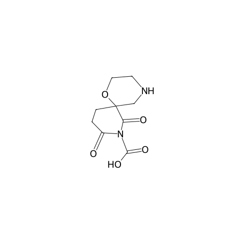 O=C(O)N1C(=O)CCC2(CNCCO2)C1=O